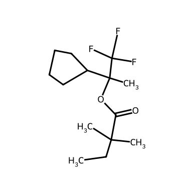 CCC(C)(C)C(=O)OC(C)(C1CCCC1)C(F)(F)F